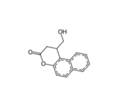 O=C1CC(CO)c2c(ccc3ccccc23)O1